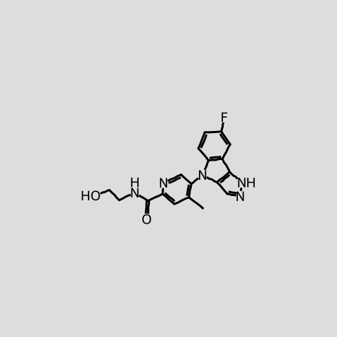 Cc1cc(C(=O)NCCO)ncc1-n1c2ccc(F)cc2c2[nH]ncc21